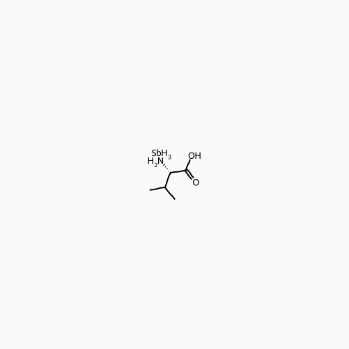 CC(C)[C@H](N)C(=O)O.[SbH3]